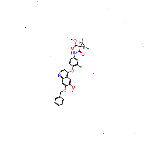 COC(=O)C1(C(=O)Nc2ccc(Oc3ccnc4cc(OCc5ccccc5)c(OC)cc34)c(F)c2)[C@H](C)[C@H]1C